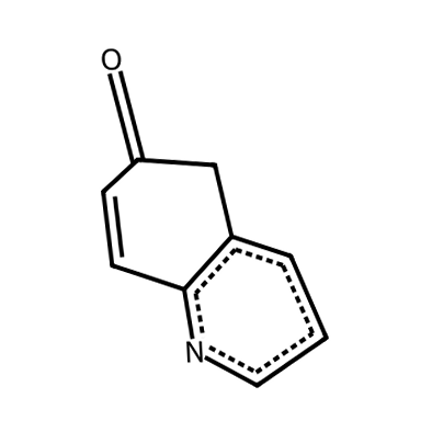 O=C1C=Cc2ncccc2C1